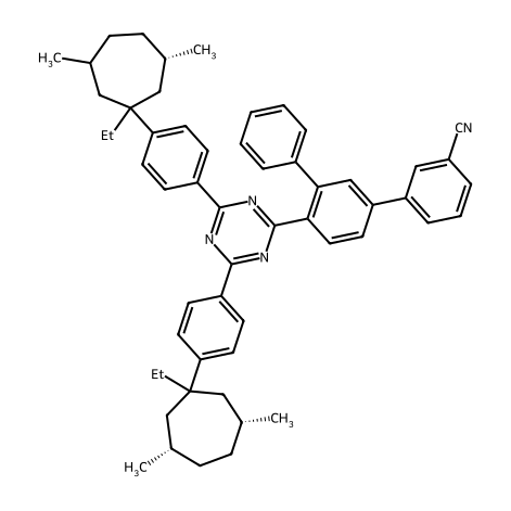 CCC1(c2ccc(-c3nc(-c4ccc(C5(CC)C[C@H](C)CC[C@H](C)C5)cc4)nc(-c4ccc(-c5cccc(C#N)c5)cc4-c4ccccc4)n3)cc2)CC(C)CC[C@H](C)C1